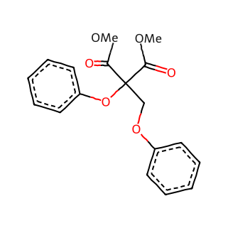 COC(=O)C(COc1ccccc1)(Oc1ccccc1)C(=O)OC